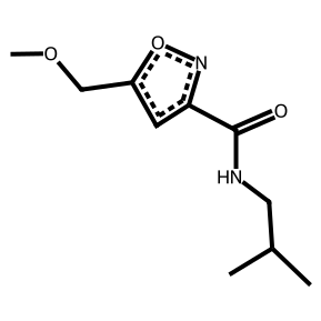 COCc1cc(C(=O)NCC(C)C)no1